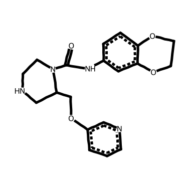 O=C(Nc1ccc2c(c1)OCCO2)N1CCNCC1COc1cccnc1